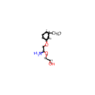 NC(COc1cccc(C=O)c1)OCCO